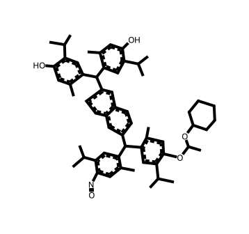 Cc1cc(O)c(C(C)C)cc1C(c1ccc2cc(C(c3cc(C(C)C)c(N=O)cc3C)c3cc(C(C)C)c(OC(C)OC4CCCCC4)cc3C)ccc2c1)c1cc(C(C)C)c(O)cc1C